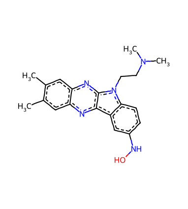 Cc1cc2nc3c4cc(NO)ccc4n(CCN(C)C)c3nc2cc1C